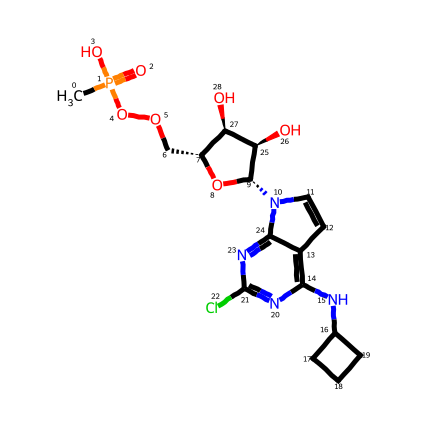 CP(=O)(O)OOC[C@H]1O[C@@H](n2ccc3c(NC4CCC4)nc(Cl)nc32)[C@H](O)[C@@H]1O